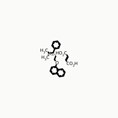 CN(C)[C@@H](CCOc1cccc2ccccc12)c1ccccc1.O=C(O)C=CC(=O)O